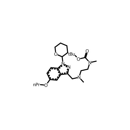 CCCOc1ccc2c(c1)c(CN(C)CCN(C)C(=O)OC(C)(C)C)nn2C1CCCCO1